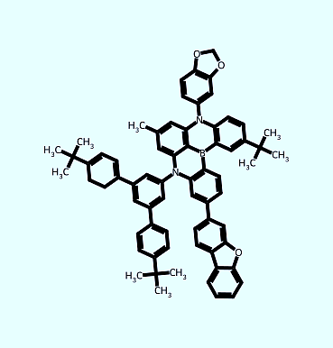 Cc1cc2c3c(c1)N(c1cc(C4=CC=C(C(C)(C)C)CC4)cc(-c4ccc(C(C)(C)C)cc4)c1)c1cc(-c4ccc5c(c4)oc4ccccc45)ccc1B3c1cc(C(C)(C)C)ccc1N2c1ccc2c(c1)OCO2